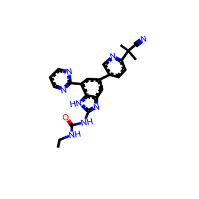 CCNC(=O)Nc1nc2cc(-c3ccc(C(C)(C)C#N)nc3)cc(-c3ncccn3)c2[nH]1